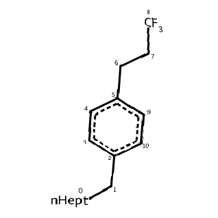 CCCCCCCCc1ccc(CCC(F)(F)F)cc1